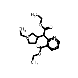 CCOC(=O)c1cccnc1C(C(=O)OCC)C1CCN(CC)C1